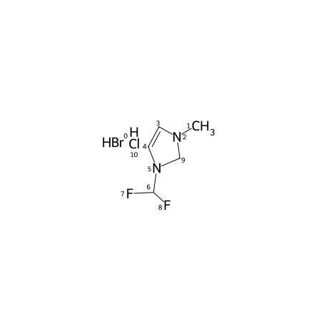 Br.CN1C=CN(C(F)F)C1.Cl